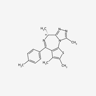 Cc1ccc(C2=N[C@H](C)c3nnc(C)n3-c3sc(C)c(C)c32)cc1